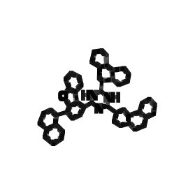 c1ccc2c(-c3ccc(C4N=C(c5ccc6ccc7ccccc7c6c5)NC(c5cc6ccccc6c6ccccc56)N4)c4c3oc3ccccc34)cccc2c1